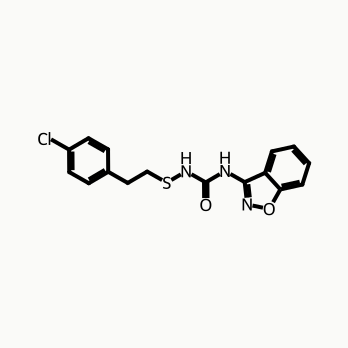 O=C(NSCCc1ccc(Cl)cc1)Nc1noc2ccccc12